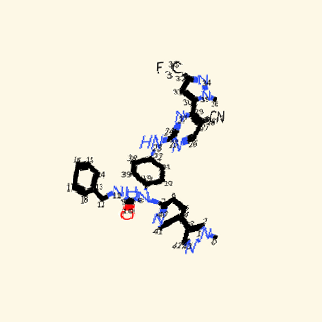 Cn1cc(-c2ccc(N(C(=O)NCc3ccccc3)[C@H]3CC[C@H](Nc4ncc(C#N)c(-c5cc(C(F)(F)F)nn5C)n4)CC3)nc2)cn1